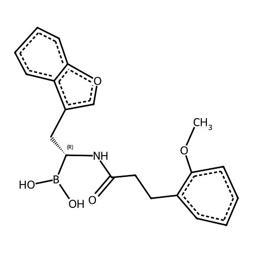 COc1ccccc1CCC(=O)N[C@@H](Cc1coc2ccccc12)B(O)O